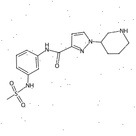 CS(=O)(=O)Nc1cccc(NC(=O)c2ccn(C3CCCNC3)n2)c1